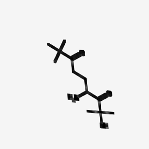 CC(C)(C)C(=O)CCC(N)C(=O)C(C)(C)S